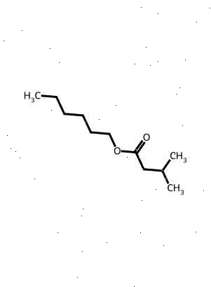 CCCCCCOC(=O)CC(C)C